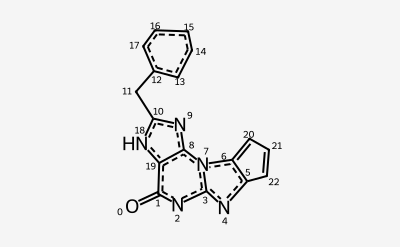 O=c1nc2nc3c(n2c2nc(Cc4ccccc4)[nH]c12)=CC=C3